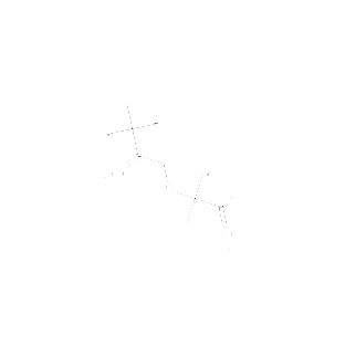 CC(=O)C(C)(C)SCC(=O)C(C)(C)C